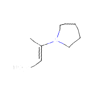 CC(=CC(=O)O)N1CCCC1